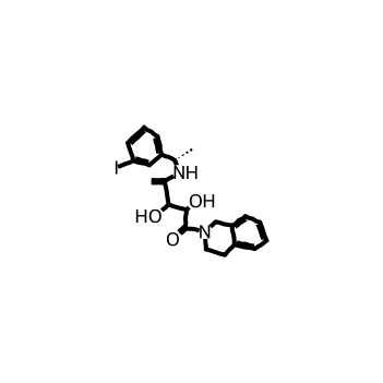 C=C(N[C@@H](C)c1cccc(I)c1)C(O)C(O)C(=O)N1CCc2ccccc2C1